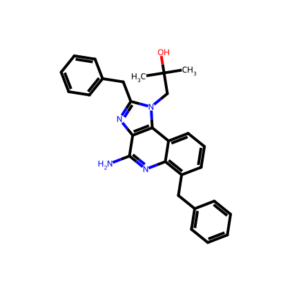 CC(C)(O)Cn1c(Cc2ccccc2)nc2c(N)nc3c(Cc4ccccc4)cccc3c21